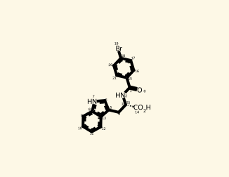 O=C(N[C@@H](Cc1c[nH]c2ccccc12)C(=O)O)c1ccc(Br)cc1